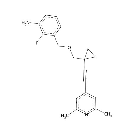 Cc1cc(C#CC2(COCc3cccc(N)c3I)CC2)cc(C)n1